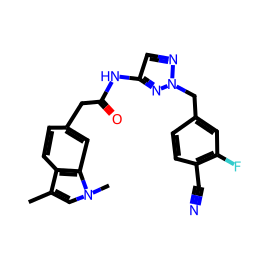 Cc1cn(C)c2cc(CC(=O)Nc3cnn(Cc4ccc(C#N)c(F)c4)n3)ccc12